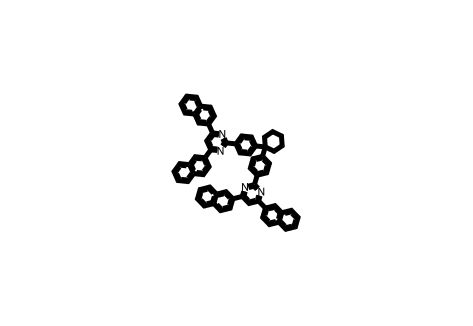 c1ccc2cc(-c3cc(-c4ccc5ccccc5c4)nc(-c4ccc(C5(c6ccc(-c7nc(-c8ccc9ccccc9c8)cc(-c8ccc9ccccc9c8)n7)cc6)CCCCC5)cc4)n3)ccc2c1